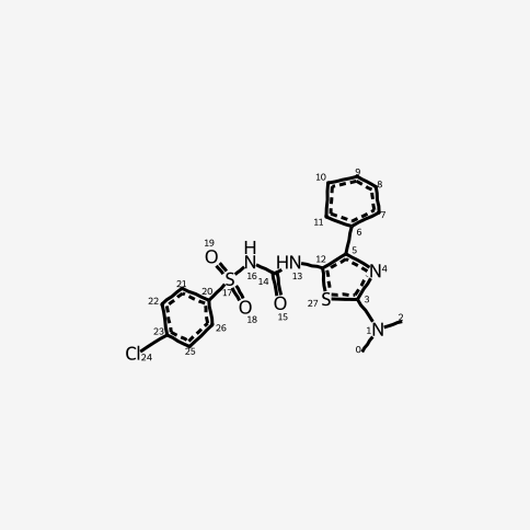 CN(C)c1nc(-c2ccccc2)c(NC(=O)NS(=O)(=O)c2ccc(Cl)cc2)s1